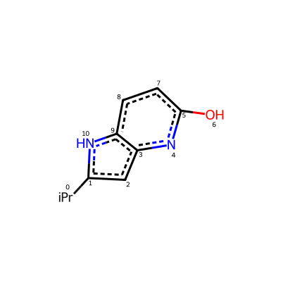 CC(C)c1cc2nc(O)ccc2[nH]1